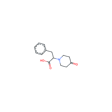 O=C1CCN(C(Cc2ccccc2)C(=O)O)CC1